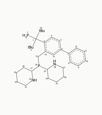 CC(C)(C)C(P)(c1ccc(-c2ccccc2)cc1CP(C1CCCCN1)C1CCCCN1)C(C)(C)C